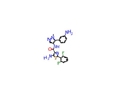 Cn1ncc(NC(=O)c2nc(-c3c(F)cccc3F)sc2N)c1-c1cccc(N)c1